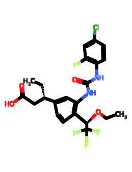 CCO[C@H](c1ccc([C@@H](CC)CC(=O)O)cc1NC(=O)Nc1ccc(Cl)cc1F)C(F)(F)F